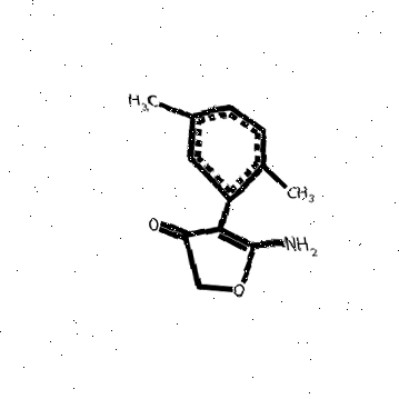 Cc1ccc(C)c(C2=C(N)OCC2=O)c1